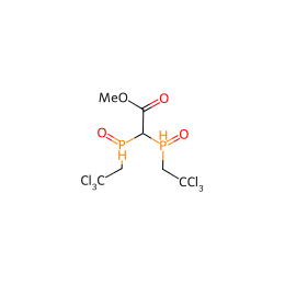 COC(=O)C([PH](=O)CC(Cl)(Cl)Cl)[PH](=O)CC(Cl)(Cl)Cl